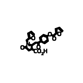 O=C(CC1C(C(=O)O)CC(=O)N1Cc1ccco1)c1ccc(OC(=O)c2ccco2)cc1